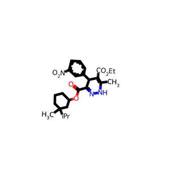 CCOC(=O)C1=C(C)NN=C(C(=O)OC2CCCC(C)(C(C)C)C2)C1c1cccc([N+](=O)[O-])c1